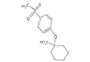 CS(=O)(=O)c1ccc(OC2(C(=O)O)CCCCC2)cc1